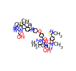 Cc1ncsc1-c1ccc([C@H](C)NC(=O)[C@@H]2C[C@@H](O)CN2C(=O)[C@@H](NC(=O)c2ccc(OC3CCN(c4ccc(C5=N[C@@H](CC(=O)O)c6nnc(C)n6-c6sc(C)c(C)c65)cc4)CC3)cc2)C(C)(C)C)cc1